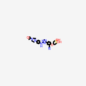 N#Cc1cc(-c2ncnc(Nc3ccc(N4CCN(C5COC5)CC4)cc3)n2)ccc1OC1CCS(O)(O)CC1